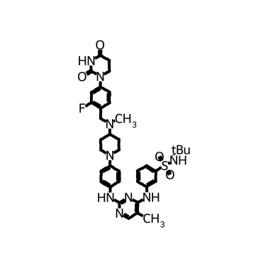 Cc1cnc(Nc2ccc(N3CCC(N(C)Cc4ccc(N5CCC(=O)NC5=O)cc4F)CC3)cc2)nc1Nc1cccc(S(=O)(=O)NC(C)(C)C)c1